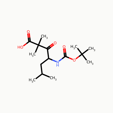 CC(C)CC(NC(=O)OC(C)(C)C)C(=O)C(C)(C)C(=O)O